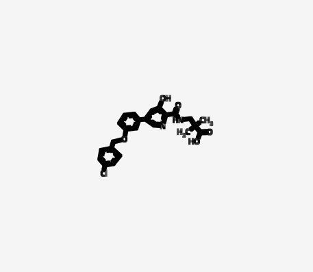 CC(C)(CNC(=O)c1ncc(-c2cccc(OCc3ccc(Cl)cc3)c2)cc1O)C(=O)O